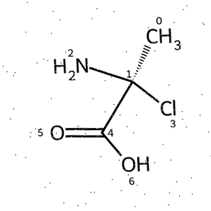 C[C@](N)(Cl)C(=O)O